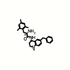 Cc1cc(C)c(C[C@H](N)C(=O)N[C@H]2CCN(C)c3ccc(Cc4ccccc4)cc32)c(C)c1